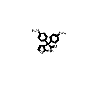 Nc1ccc(C2(c3ccc(N)cc3)C(=O)Nc3occc32)cc1